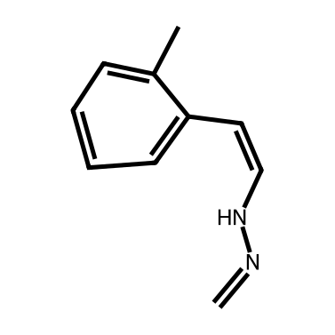 C=NN/C=C\c1ccccc1C